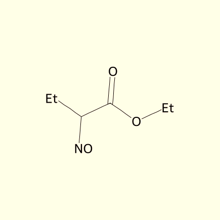 CCOC(=O)C(CC)N=O